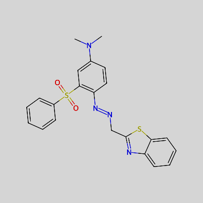 CN(C)c1ccc(N=NCc2nc3ccccc3s2)c(S(=O)(=O)c2ccccc2)c1